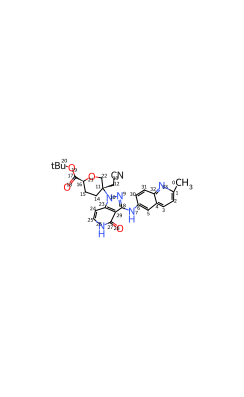 Cc1ccc2cc(Nc3nn([C@]4(CC#N)CC[C@@H](C(=O)OC(C)(C)C)OC4)c4cc[nH]c(=O)c34)ccc2n1